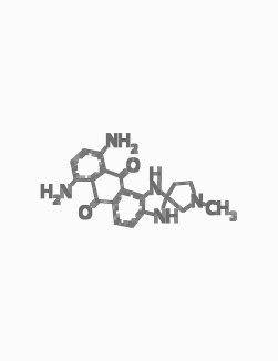 CN1CCC2(C1)Nc1ccc3c(c1N2)C(=O)c1c(N)ccc(N)c1C3=O